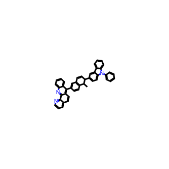 CC1c2ccc(-c3c4ccccc4nc4c3ccc3cccnc34)cc2C=CC1c1ccc2c(c1)c1ccccc1n2-c1ccccc1